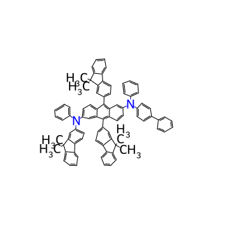 CC1(C)c2ccccc2-c2ccc(-c3c4ccc(N(c5ccccc5)c5ccc6c(c5)C(C)(C)c5ccccc5-6)cc4c(-c4ccc5c(c4)C(C)(C)c4ccccc4-5)c4ccc(N(c5ccccc5)c5ccc(-c6ccccc6)cc5)cc34)cc21